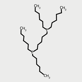 CCCCCCP(CCCCCC)CCCCCP(CCCCCC)CCCCCC